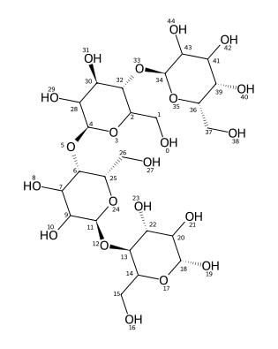 OCC1O[C@@H](O[C@H]2C(O)C(O)[C@H](O[C@@H]3C(CO)O[C@@H](O)C(O)[C@H]3O)O[C@H]2CO)C(O)[C@@H](O)[C@@H]1O[C@@H]1O[C@@H](CO)[C@@H](O)C(O)C1O